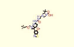 COc1cc2scnc2cc1-c1cn(COCC[Si](C)(C)C)c2nc(NC(=O)NCCN3CCN(C(=O)O)C(C(C)(C)C)C3)ccc12